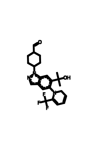 CC(C)(O)c1cc2c(cnn2C2CCC(C=O)CC2)cc1N1CC=CC=C1C(F)(F)F